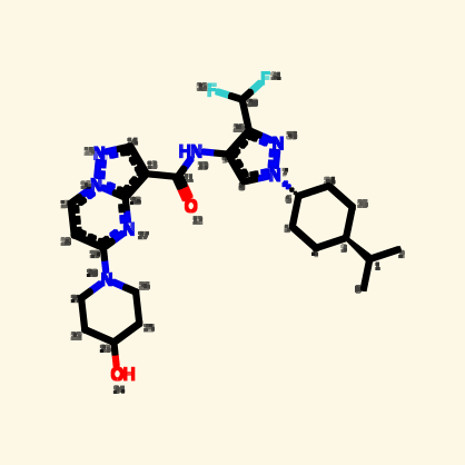 CC(C)[C@H]1CC[C@H](n2cc(NC(=O)c3cnn4ccc(N5CCC(O)CC5)nc34)c(C(F)F)n2)CC1